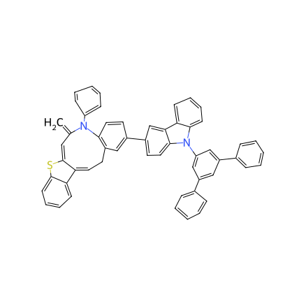 C=C1/C=c2/sc3ccccc3/c2=C/Cc2cc(-c3ccc4c(c3)c3ccccc3n4-c3cc(-c4ccccc4)cc(-c4ccccc4)c3)ccc2N1c1ccccc1